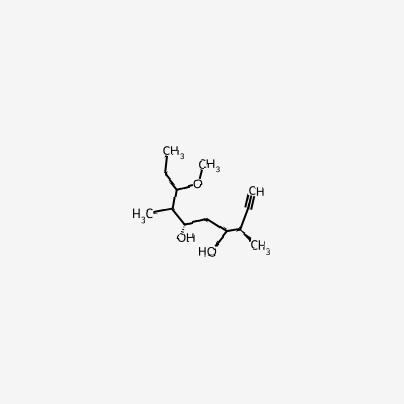 C#C[C@@H](C)C(O)C[C@H](O)C(C)C(CC)OC